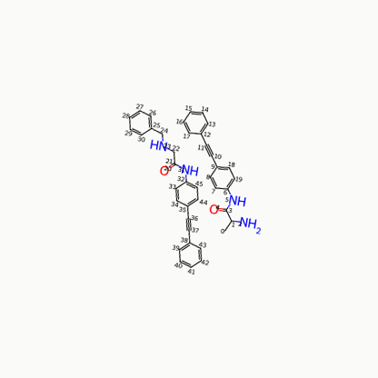 CC(N)C(=O)Nc1ccc(C#Cc2ccccc2)cc1.O=C(CNCc1ccccc1)Nc1ccc(C#Cc2ccccc2)cc1